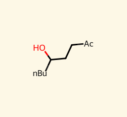 CCCCC(O)CCC(C)=O